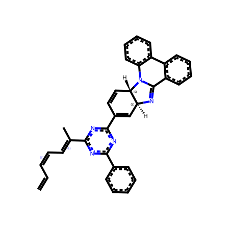 C=C/C=C\C=C(/C)c1nc(C2=C[C@@H]3N=C4c5ccccc5-c5ccccc5N4[C@H]3C=C2)nc(-c2ccccc2)n1